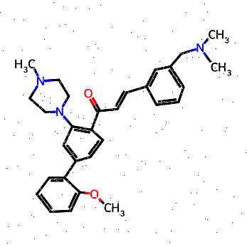 COc1ccccc1-c1ccc(C(=O)C=Cc2cccc(CN(C)C)c2)c(N2CCN(C)CC2)c1